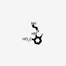 N=C/C=N\Nc1c(F)cccc1C(=O)O